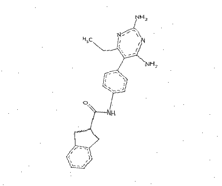 CCc1nc(N)nc(N)c1-c1ccc(NC(=O)C2Cc3ccccc3C2)cc1